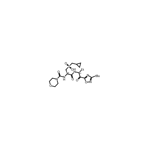 CC[C@H](NC(=O)[C@H](CS(=O)(=O)CC1CC1)NC(=O)N1CCOCC1)C(=O)c1nc(C(C)(C)C)no1